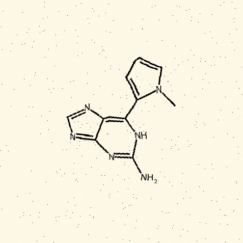 Cn1cccc1-c1[nH]c(N)nc2ncnc1-2